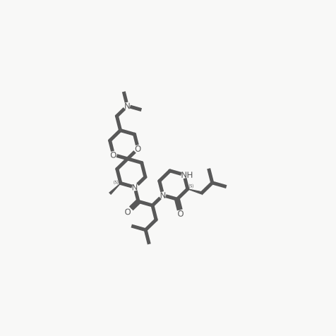 CC(C)CC(C(=O)N1CCC2(C[C@@H]1C)OCC(CN(C)C)CO2)N1CCN[C@@H](CC(C)C)C1=O